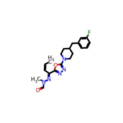 C/C=C\C(=N/N(C)C=O)c1nnc(N2CCC(Cc3cccc(F)c3)CC2)o1